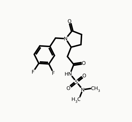 CN(C)S(=O)(=O)NC(=O)CC1CCC(=O)N1Cc1ccc(F)c(F)c1